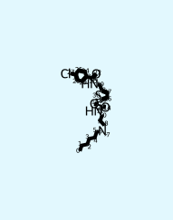 CCCCCCN(C)CCCNS(=O)(=O)c1ccc(CNC(=O)c2ccc(Cl)cc2)s1